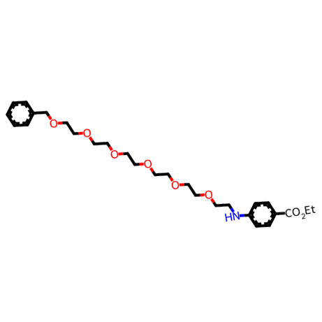 CCOC(=O)c1ccc(NCCOCCOCCOCCOCCOCCOCc2ccccc2)cc1